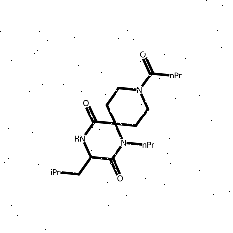 CCCC(=O)N1CCC2(CC1)C(=O)NC(CC(C)C)C(=O)N2CCC